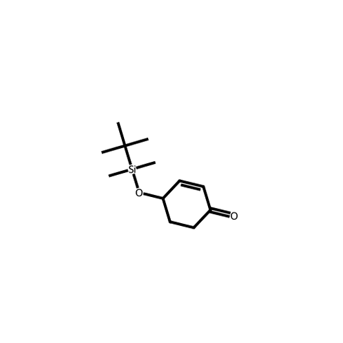 CC(C)(C)[Si](C)(C)OC1C=CC(=O)CC1